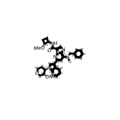 CO[C@@H]1CCC1NC(=O)c1cnc2c(N(C)Cc3ccccc3)cc(-c3cn([C@@H]4CCOC[C@H]4OC)c4ncccc34)nn12